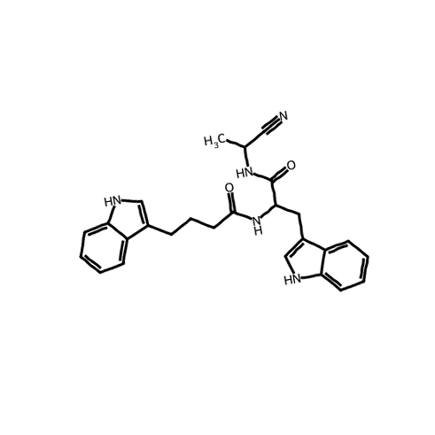 CC(C#N)NC(=O)C(Cc1c[nH]c2ccccc12)NC(=O)CCCc1c[nH]c2ccccc12